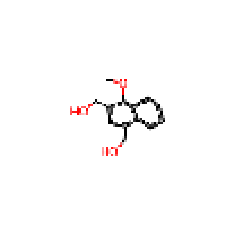 COc1c(CO)cc(CO)c2ccccc12